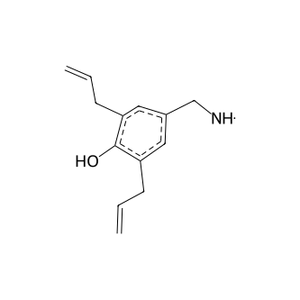 C=CCc1cc(C[NH])cc(CC=C)c1O